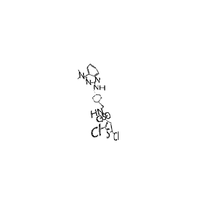 CN(C)c1nc(NC[C@H]2CC[C@H](CNS(=O)(=O)c3cc(Cl)sc3Cl)CC2)nc2ccccc12